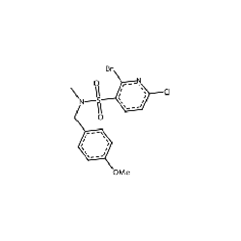 COc1ccc(CN(C)S(=O)(=O)c2ccc(Cl)nc2Br)cc1